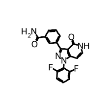 NC(=O)c1cccc(-c2nn(-c3c(F)cccc3F)c3cc[nH]c(=O)c23)c1